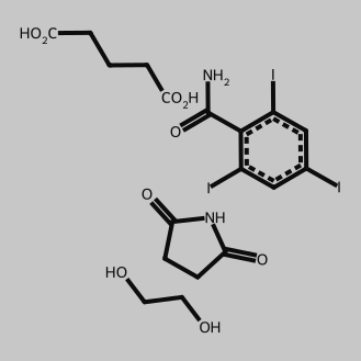 NC(=O)c1c(I)cc(I)cc1I.O=C(O)CCCC(=O)O.O=C1CCC(=O)N1.OCCO